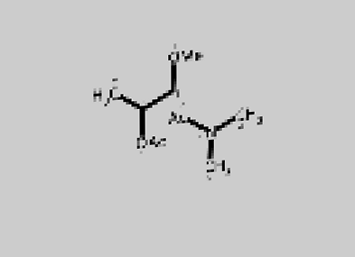 CC(=O)N(C)C.COCC(C)OC(C)=O